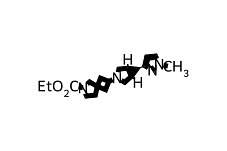 CCOC(=O)N1CCC2(CC(N3C[C@@H]4[C@H](C3)[C@H]4c3ccn(C)n3)C2)C1